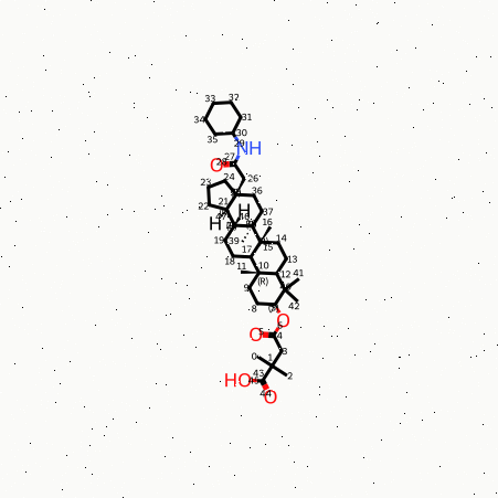 CC(C)(CC(=O)O[C@H]1CC[C@@]2(C)C(CC[C@]3(C)C2CC[C@@H]2[C@H]4CCC[C@]4(CC(=O)NC4CCCCC4)CC[C@]23C)C1(C)C)C(=O)O